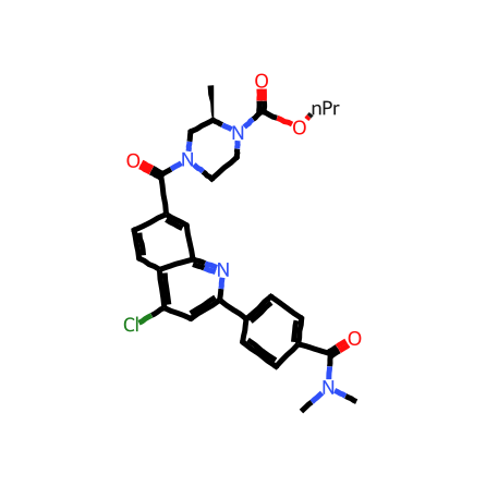 CCCOC(=O)N1CCN(C(=O)c2ccc3c(Cl)cc(-c4ccc(C(=O)N(C)C)cc4)nc3c2)C[C@H]1C